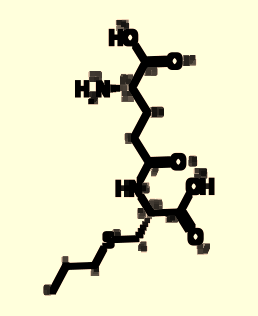 CCCSC[C@H](NC(=O)CC[C@H](N)C(=O)O)C(=O)O